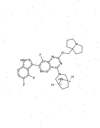 Fc1ccc2[nH]cc(-c3ncc4c(N5C[C@H]6CC[C@@H](C5)N6)nc(OCC56CCCN5CCC6)nc4c3F)c2c1F